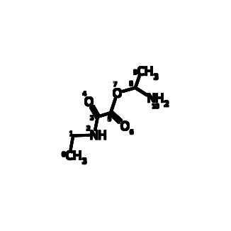 CCNC(=O)C(=O)OC(C)N